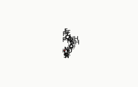 Fc1cc(C(F)(F)F)cc2[nH]c(Nc3ccc(Oc4nccc5sncc45)cc3)nc12